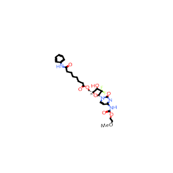 COCCOC(=O)Nc1ccn([C@@H]2O[C@H](COC(=O)CCCCCCC(=O)Nc3ccccc3)[C@@H](O)C2(F)F)c(=O)n1